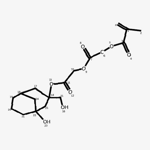 C=C(C)C(=O)OCC(=O)OCC(=O)OC1(CO)CC2CCCC(O)(C2)C1